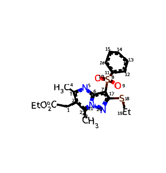 CCOC(=O)Cc1c(C)nc2c(S(=O)(=O)c3ccccc3)c(SCC)nn2c1C